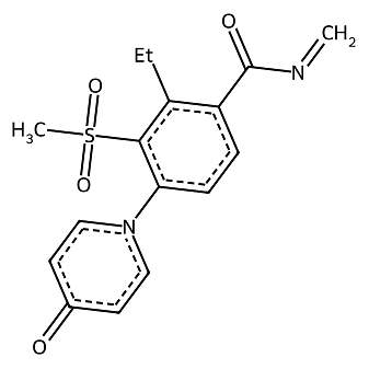 C=NC(=O)c1ccc(-n2ccc(=O)cc2)c(S(C)(=O)=O)c1CC